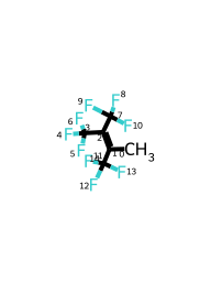 CC(=C(C(F)(F)F)C(F)(F)F)C(F)(F)F